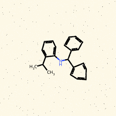 CC(C)c1ccccc1NC(c1ccccc1)c1ccccc1